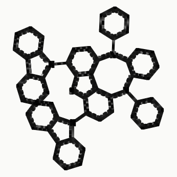 c1ccc(-n2c3ccc(-n4c5ccccc5c5ccccc54)c4sc5c(-n6c7ccccc7c7ccccc76)ccc(c5c43)n(-c3ccccc3)c3ccccc32)cc1